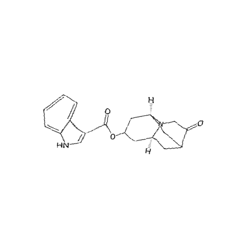 O=C(OC1C[C@@H]2CC3C[C@@H](C1)N2CC3=O)c1c[nH]c2ccccc12